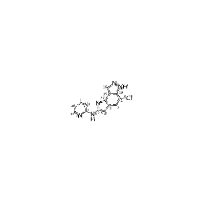 Clc1cc2sc(Nc3ncccn3)nc2c2cn[nH]c12